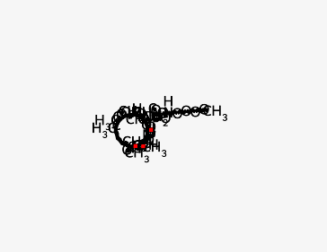 COCCOCCOCCOCCNC(=O)O[C@@H]1CC[C@@H](C[C@@H](N)[C@@H]2CC(=O)[C@H](C)/C=C(\C)[C@@H](O)[C@@H](OC)C(=O)C(C)C[C@H](C)/C=C/C=C/C=C(\C)[C@@H](OC)C[C@@H]3CC[C@@H](C)[C@@](O)(O3)C(=O)C(=O)N3CCCC[C@H]3C(=O)O2)C[C@H]1OC